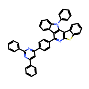 c1ccc(-c2cc(-c3ccc(-c4nc5sc6ccccc6c5c5c4c4ccccc4n5-c4ccccc4)cc3)nc(-c3ccccc3)n2)cc1